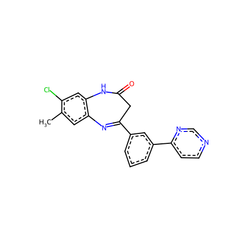 Cc1cc2c(cc1Cl)NC(=O)CC(c1cccc(-c3ccncn3)c1)=N2